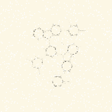 Cc1cc(C)c(-c2ccc3c4ccccc4n(-c4cc(-c5nc(C)nc(C)n5)cc(-n5c6ccccc6c6ccc(-c7c(C)cc(C)cc7C)cc65)c4C#N)c3c2)c(C)c1